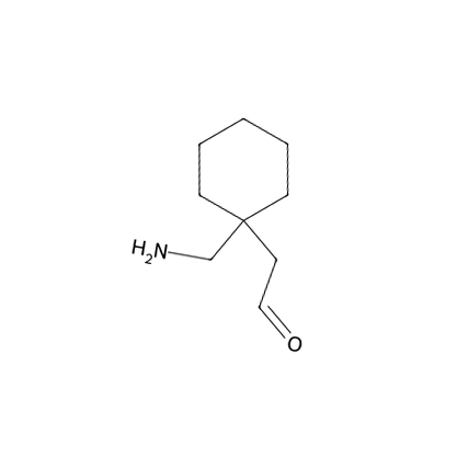 NCC1(CC=O)CCCCC1